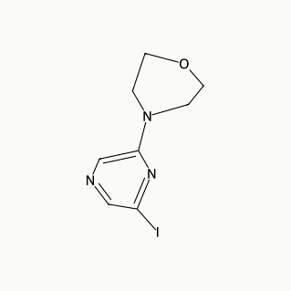 Ic1cncc(N2CCOCC2)n1